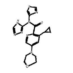 O=C(c1ncc(N2CCOCC2)cc1C1CC1)N(c1cscn1)c1nnc[nH]1